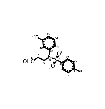 Cc1ccc(S(=O)(=O)N(CCC=O)c2cccc(F)c2)cc1